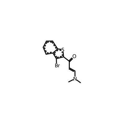 CN(C)/C=C/C(=O)c1sc2ccccc2c1Br